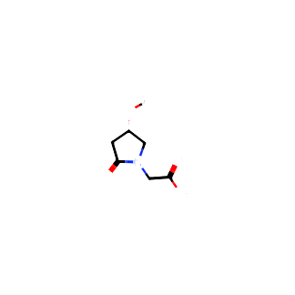 CO[C@H]1CC(=O)N(CC(=O)O)C1